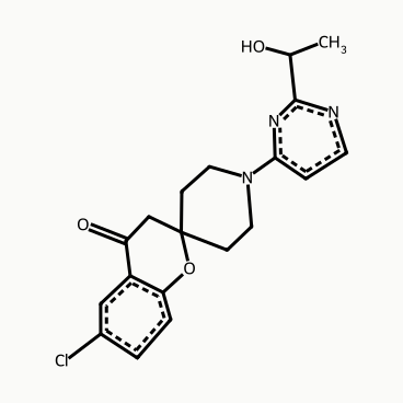 CC(O)c1nccc(N2CCC3(CC2)CC(=O)c2cc(Cl)ccc2O3)n1